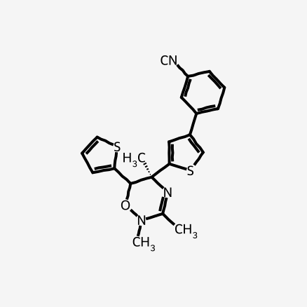 [C-]#[N+]c1cccc(-c2csc([C@@]3(C)N=C(C)N(C)OC3c3cccs3)c2)c1